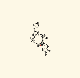 O=c1[nH]cnc2c1ncn2[C@@H]1O[C@@H]2CO[P@@](=O)(S)O[C@H]3C[C@H](Oc4ccncn4)C[C@@H]3CO[P@@](=O)(S)O[C@@H]1[C@@H]2O